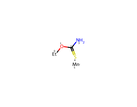 CCOC(N)=S.[Mn]